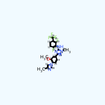 COc1cc(-c2nc(Nc3c(F)ccc(C(F)(F)F)c3F)n(C)n2)ccc1-n1cnc(C)c1